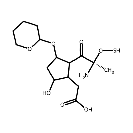 C[C@@](N)(OS)C(=O)C1C(OC2CCCCO2)CC(O)C1CC(=O)O